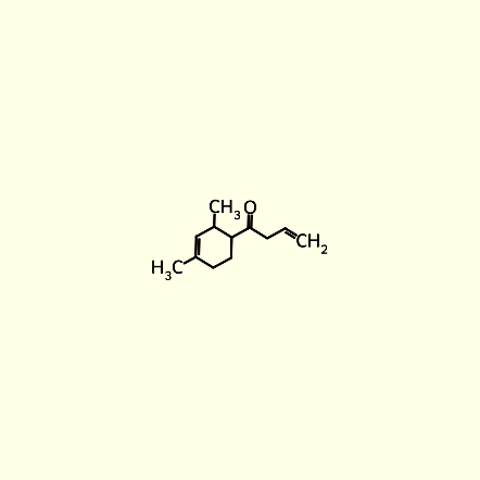 C=CCC(=O)C1CCC(C)=CC1C